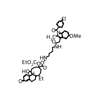 CCOC(=O)OC1(C(=O)OCNCCCCNC(=O)Cc2c(C)n(C(=O)c3ccc(Cl)cc3)c3ccc(OC)cc23)CCC(O)C2C(CCC3=CC(=O)C=CC32C)C(CC)CC1